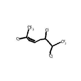 FC(F)(F)/C(Cl)=C\C(Cl)C(Cl)C(F)(F)F